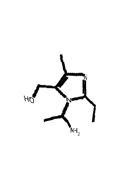 CCc1nc(C)c(CO)n1C(C)N